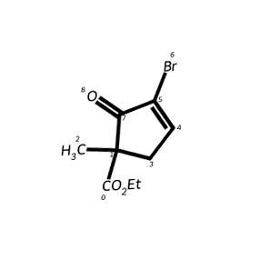 CCOC(=O)C1(C)CC=C(Br)C1=O